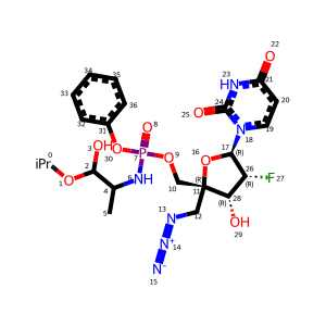 CC(C)OC(O)C(C)NP(=O)(OC[C@@]1(CN=[N+]=[N-])O[C@@H](n2ccc(=O)[nH]c2=O)[C@H](F)[C@@H]1O)Oc1ccccc1